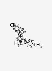 Cc1ccc(OC[C@@H]2CN(CC3(c4ccc(Cl)cc4)CCC3)CC[C@H]2C)cc1